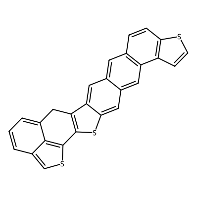 c1cc2c3c(scc3c1)-c1sc3cc4cc5c(ccc6sccc65)cc4cc3c1C2